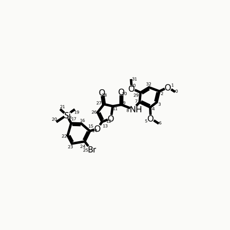 COc1cc(OC)c(NC(=O)C2OC(Oc3cc([Si](C)(C)C)ccc3Br)=CC2=O)c(OC)c1